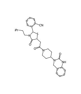 CC(C)CCN1C(=O)C(CC(=O)N2CCC(N3Cc4ccccc4NC3=O)CC2)SC1c1ccccc1C#N